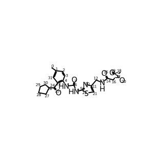 Cc1ccc(NC(=O)Nc2nc(CNC(=O)CS(C)(=O)=O)cs2)c(C(=O)C2CCCC2)c1